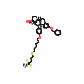 C[C@]12C[C@H](c3ccc(OCCCCCCSCCCC(F)(F)C(F)(F)F)cc3)[C@@H]3c4ccc(OCc5ccccc5)cc4CC[C@H]3[C@]13CC[C@]2(O)CC3